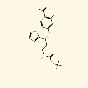 Cc1cc(OC(CCN(C)C(=O)OC(C)(C)C)c2cccs2)ccc1C(=O)O